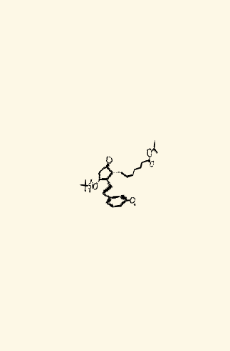 COc1cccc(/C=C/[C@H]2[C@H](O[Si](C)(C)C(C)(C)C)CC(=O)[C@@H]2C/C=C\CCCC(=O)OC(C)C)c1